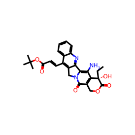 CC[C@@]1(O)C(=O)OCc2c1c(N)c1n(c2=O)Cc2c-1nc1ccccc1c2/C=C/C(=O)OC(C)(C)C